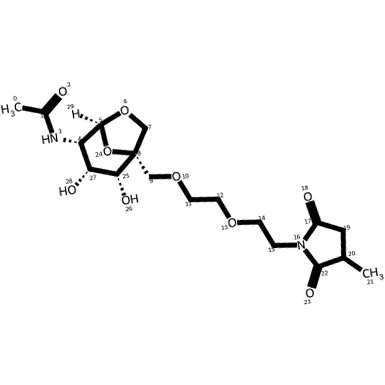 CC(=O)N[C@@H]1[C@H]2OC[C@](COCCOCCN3C(=O)CC(C)C3=O)(O2)[C@H](O)[C@@H]1O